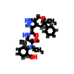 CC[C@H](NC(=O)c1n[nH]c2c1CC(C)(c1ccccc1)OC2)C(=O)N(C)c1ccccc1O